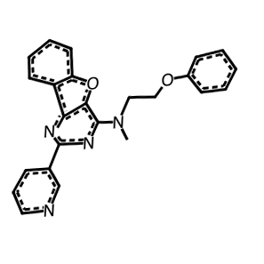 CN(CCOc1ccccc1)c1nc(-c2cccnc2)nc2c1oc1ccccc12